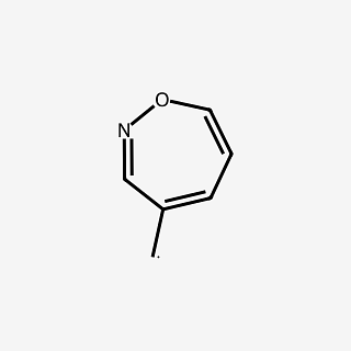 [CH2]C1=CC=CON=C1